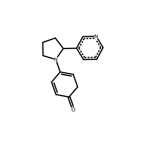 O=C1C=CC(N2CCCC2c2cccnc2)=CC1